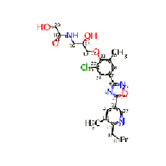 Cc1cc(-c2nc(-c3cc(C)c(OCC(O)CNC(=O)CO)c(Cl)c3)no2)cnc1CC(C)C